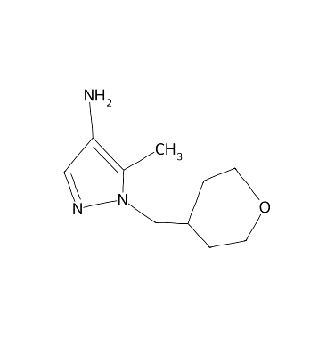 Cc1c(N)cnn1CC1CCOCC1